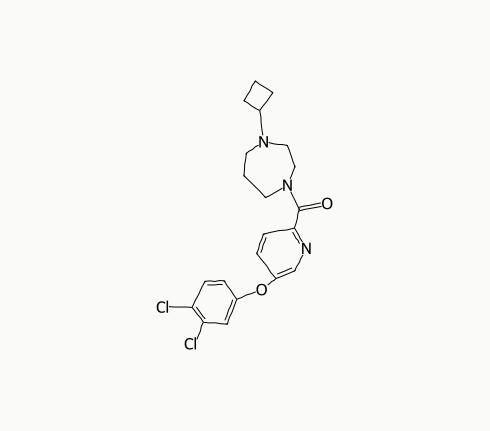 O=C(c1ccc(Oc2ccc(Cl)c(Cl)c2)cn1)N1CCCN(C2CCC2)CC1